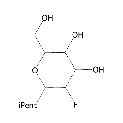 CCCC(C)C1OC(CO)C(O)C(O)C1F